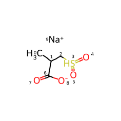 CC(C[SH](=O)=O)C(=O)[O-].[Na+]